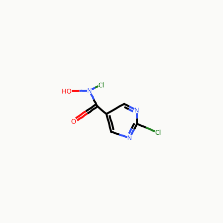 O=C(c1cnc(Cl)nc1)N(O)Cl